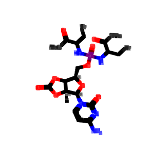 COC(=O)C(CC(C)C)NP(=O)(NC(CC(C)C)C(=O)OC)OC[C@H]1O[C@@H](n2ccc(N)nc2=O)[C@@]2(C)OC(=O)OC12